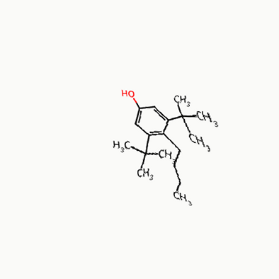 CCCCc1c(C(C)(C)C)cc(O)cc1C(C)(C)C